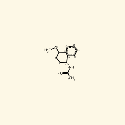 CO[C@@H]1CC[C@@H](NC(C)=O)c2ccccc21